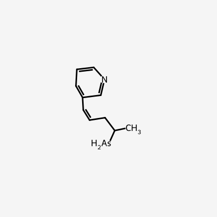 CC([AsH2])C/C=C\c1cccnc1